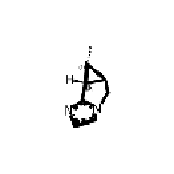 C[C@@H]1C2Cn3ccnc3[C@@H]21